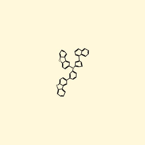 c1cc(-c2ccc3sc4ccccc4c3c2)cc(N(c2cccc(-c3cccc4ccccc34)c2)c2ccc3oc4ccccc4c3c2)c1